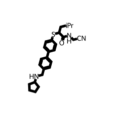 CC(C)CC(Sc1ccc(-c2ccc(CNC3CCCC3)cc2)cc1)C(=O)NCC#N